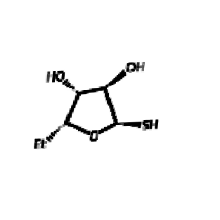 CC[C@H]1O[C@H](S)[C@H](O)[C@H]1O